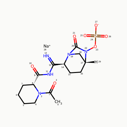 CC(=O)N1CCCC[C@@H]1C(=O)NC(=N)[C@@H]1CC[C@@H]2CN1C(=O)N2OS(=O)(=O)[O-].[Na+]